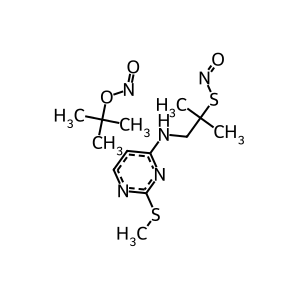 CC(C)(C)ON=O.CSc1nccc(NCC(C)(C)SN=O)n1